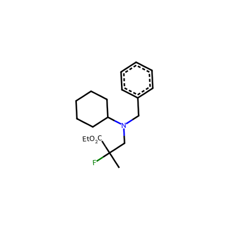 CCOC(=O)C(C)(F)CN(Cc1ccccc1)C1CCCCC1